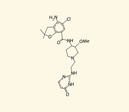 COC1CN(CCNc2nccc(=O)[nH]2)CCC1NC(=O)c1cc(Cl)c(N)c2c1OC(C)(C)C2